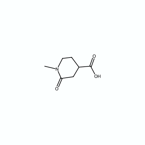 CN1CCC(C(=O)O)CC1=O